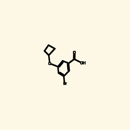 O=C(O)c1cc(Br)cc(OC2CCC2)c1